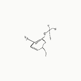 NC1=C(OC(F)(F)F)CC(I)C=C1